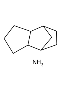 C1CC2C3CCC(C3)C2C1.N